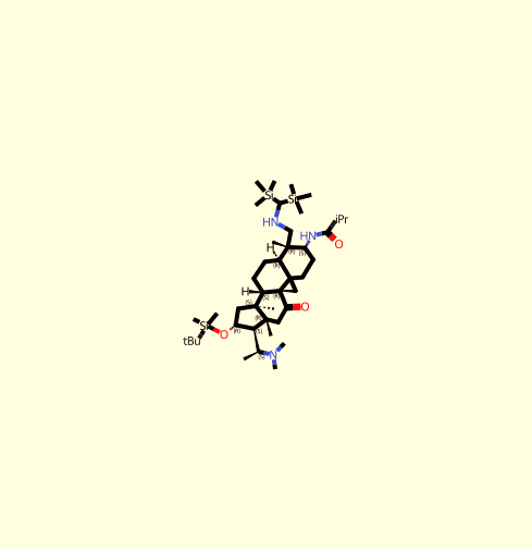 CC(C)C(=O)N[C@H]1CCC23C[C@]24C(=O)C[C@]2(C)[C@@H]([C@H](C)N(C)C)[C@H](O[Si](C)(C)C(C)(C)C)C[C@@]2(C)[C@@H]4CC[C@H]3[C@]1(C)CNC([Si](C)(C)C)[Si](C)(C)C